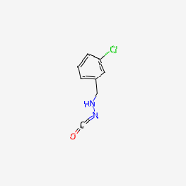 O=C=NNCc1cccc(Cl)c1